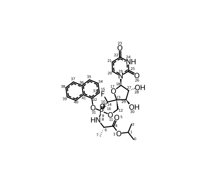 CC(C)OC(=O)[C@H](C)NP(=O)(OC[C@@]1(C(F)F)O[C@@H](n2ccc(=O)[nH]c2=O)[C@H](O)[C@H]1O)Oc1cccc2ccccc12